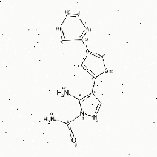 NC(=O)n1ncc(-c2cc(-c3ccccc3)cs2)c1N